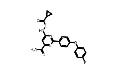 NC(=O)c1cc(NOC(=O)C2CC2)nc(-c2ccc(Oc3ccc(F)cc3)cc2)n1